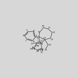 CCC1(c2ccccc2)CCCCCC1(CC)n1cncn1